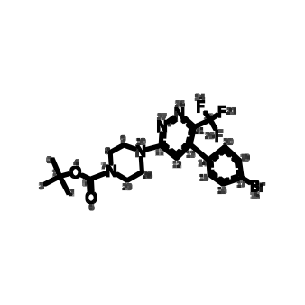 CC(C)(C)OC(=O)N1CCN(c2cc(-c3ccc(Br)cc3)c(C(F)(F)F)nn2)CC1